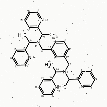 CC(c1ccccn1)N(Cc1cccc(CN(C(C)c2ccccn2)C(C)c2ccccn2)c1)C(C)c1ccccn1